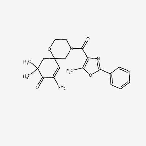 CC1(C)CC2(C=C(N)C1=O)CN(C(=O)c1nc(-c3ccccc3)oc1C(F)(F)F)CCO2